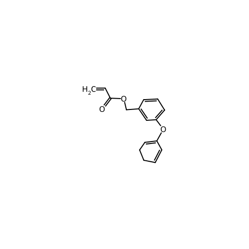 C=CC(=O)OCc1cccc(OC2=CCCC=C2)c1